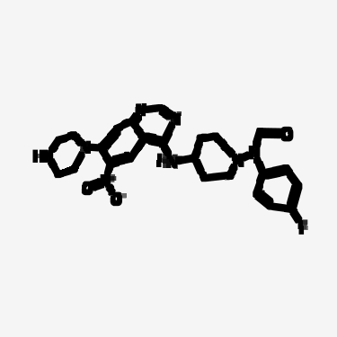 O=CN(c1ccc(F)cc1)N1CCC(Nc2ncnc3cc(N4CCNCC4)c([N+](=O)[O-])cc23)CC1